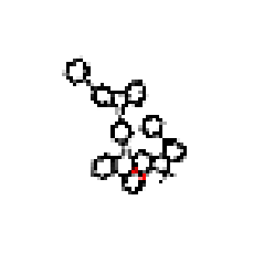 CC1(C)c2ccc(N(c3ccc(-n4c5ccccc5c5cc(-c6ccccc6)ccc54)cc3)c3ccccc3-c3ccccc3)cc2-c2c(-c3ccccc3)cccc21